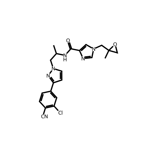 CC(Cn1ccc(-c2ccc(C#N)c(Cl)c2)n1)NC(=O)c1cn(CC2(C)CO2)cn1